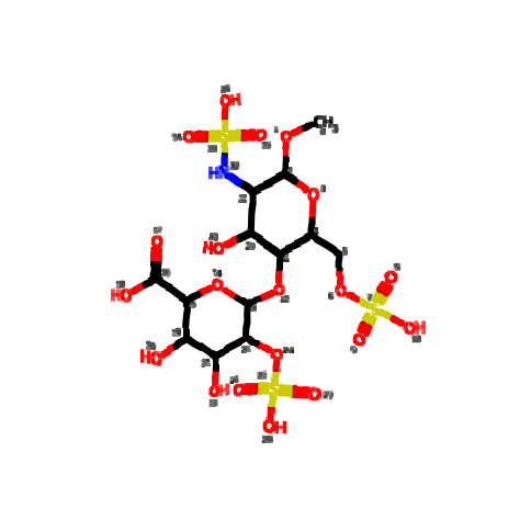 COC1OC(COS(=O)(=O)O)C(OC2OC(C(=O)O)C(O)C(O)C2OS(=O)(=O)O)C(O)C1NS(=O)(=O)O